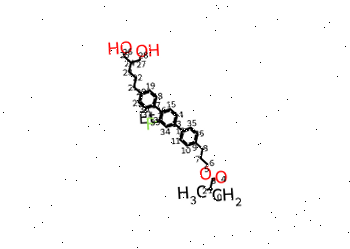 C=C(C)C(=O)OCCCc1ccc(-c2ccc(-c3ccc(CCCC(CO)CO)cc3CC)c(F)c2)cc1